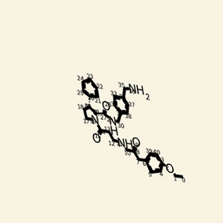 CCOc1ccc(CC(=O)CNCCC(=O)N2CC[C@H](c3ccccc3)[C@H]2C(=O)NCc2ccc(CN)cc2)cc1